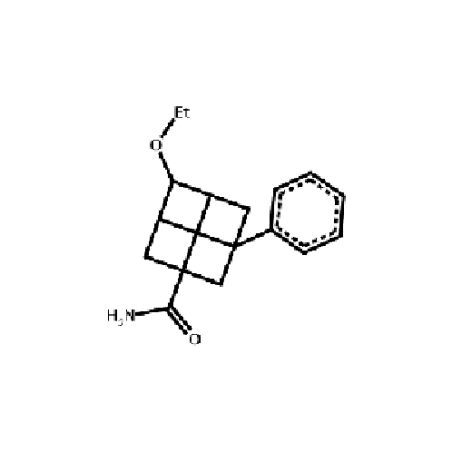 CCOC1C2CC3(C(N)=O)CC4(c5ccccc5)CC1C234